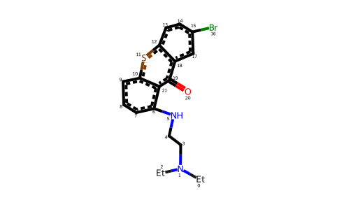 CCN(CC)CCNc1cccc2sc3ccc(Br)cc3c(=O)c12